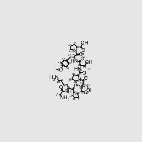 C[C@H](N)C(=O)N[C@@H](CCCCN)C(=O)N1CCC[C@H]1C(=O)N[C@@H](CO)C(=O)N1CCC[C@H]1C(=O)N[C@H](C(=O)N[C@@H](Cc1ccc(O)cc1)C(=O)N1CCC[C@H]1C(=O)O)[C@@H](C)O